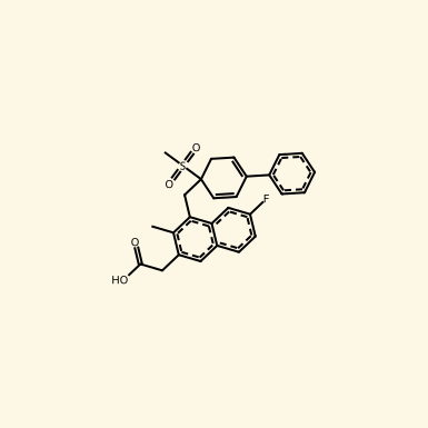 Cc1c(CC(=O)O)cc2ccc(F)cc2c1CC1(S(C)(=O)=O)C=CC(c2ccccc2)=CC1